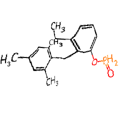 CCc1cccc(O[PH2]=O)c1Cc1c(C)cc(C)cc1C